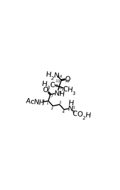 CC(=O)NC(CCCNC(=O)O)C(=O)NC(C)(C)C(N)=O